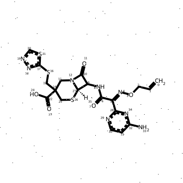 C=CCON=C(C(=O)NC1C(=O)N2CC(CSc3nncs3)(C(=O)O)CS[C@H]12)c1nccc(N)n1